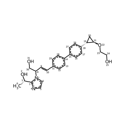 C[C@H](O)c1nccn1C(C=Cc1ccc(-c2ccc([C@@H]3C[C@H]3OCCO)cc2)cc1)CO